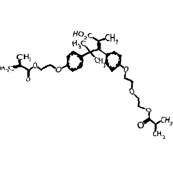 C=C(C)C(=O)OCCOCCOc1ccc(C(=C(C)C(=O)O)C(C)(C)c2ccc(OCCOC(=O)C(=C)C)cc2)cc1